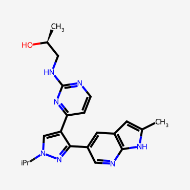 Cc1cc2cc(-c3nn(C(C)C)cc3-c3ccnc(NC[C@H](C)O)n3)cnc2[nH]1